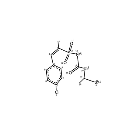 CC(=Cc1ccc(Cl)cc1)S(=O)(=O)NC(=O)NC(C)C(C)(C)C